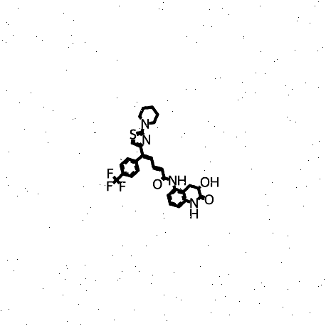 O=C(/C=C/C=C(\c1ccc(C(F)(F)F)cc1)c1csc(N2CCCCC2)n1)Nc1cccc2c1CC(O)C(=O)N2